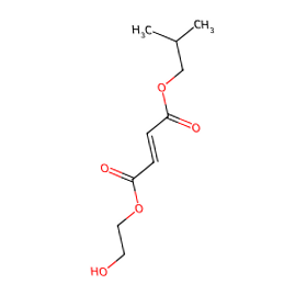 CC(C)COC(=O)C=CC(=O)OCCO